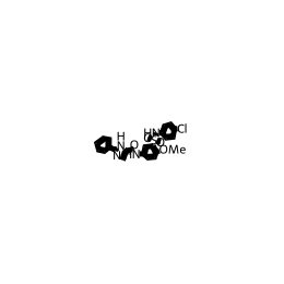 COc1ccc(NC(=O)c2cnc(-c3ccccc3)[nH]2)cc1S(=O)(=O)Nc1ccc(Cl)cc1